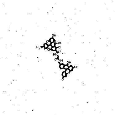 N=c1ccc2c(-c3c(Cl)cc(C(=O)NCC(=O)NCc4ccc(-c5c6ccc(=O)cc-6oc6cc(O)ccc56)c(C(=O)O)c4)c(Cl)c3C(=O)O)c3ccc(N)cc3oc-2c1